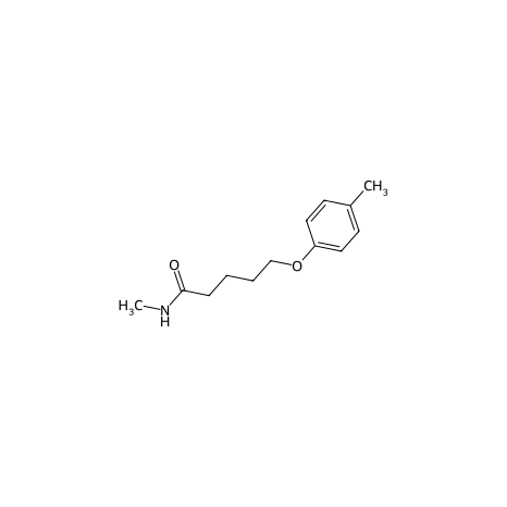 CNC(=O)CCCCOc1ccc(C)cc1